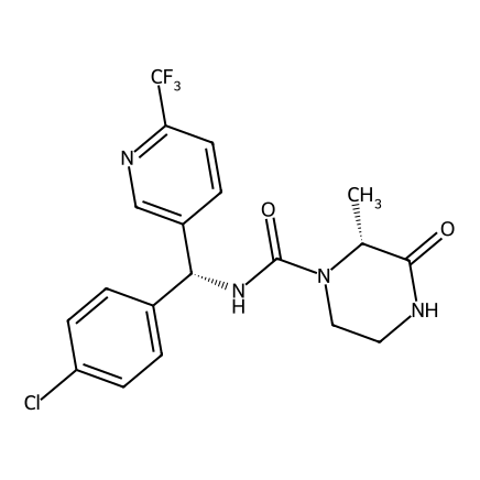 C[C@@H]1C(=O)NCCN1C(=O)N[C@H](c1ccc(Cl)cc1)c1ccc(C(F)(F)F)nc1